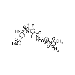 Cc1cn(C)c(=O)n(-c2ccc(C[C@H](NC(=O)c3cc(F)c(NS(=O)(=O)c4c[nH]c5cc(NC(=O)C(C)(C)C)ccc45)cc3F)C(=O)O)cn2)c1=O